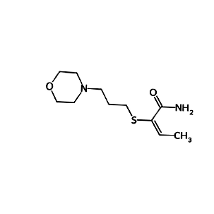 CC=C(SCCCN1CCOCC1)C(N)=O